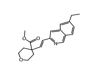 CCc1ccc2cnc(/C=C/C3(C(=O)OC)CCOCC3)cc2c1